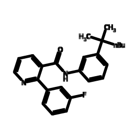 CCCCC(C)(C)c1cccc(NC(=O)c2cccnc2-c2cccc(F)c2)c1